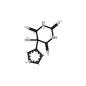 O=C1NC(=O)C(O)(c2ccsc2)C(=O)N1